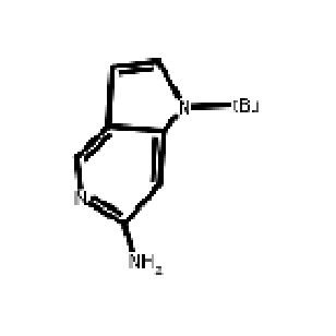 CC(C)(C)n1ccc2cnc(N)cc21